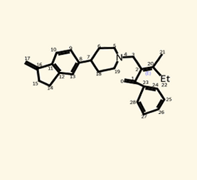 C=C(/C(CN1CCC(c2ccc3c(c2)CCC3=C)CC1)=C(/C)CC)c1ccccc1